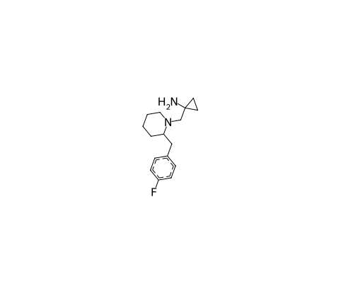 NC1(CN2CCCCC2Cc2ccc(F)cc2)CC1